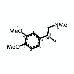 CNC[C@@H](C)c1ccc(OC)c(OC)c1